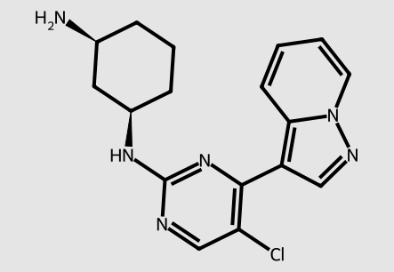 N[C@H]1CCC[C@@H](Nc2ncc(Cl)c(-c3cnn4ccccc34)n2)C1